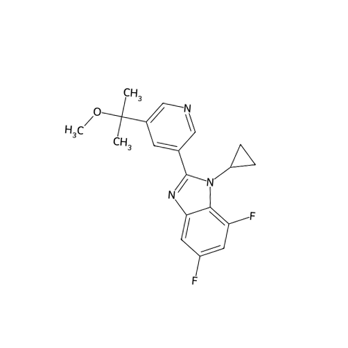 COC(C)(C)c1cncc(-c2nc3cc(F)cc(F)c3n2C2CC2)c1